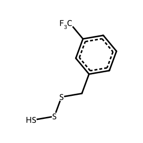 FC(F)(F)c1cccc(CSSS)c1